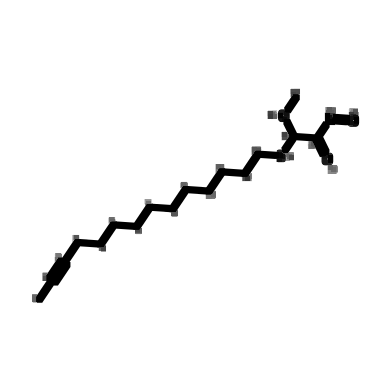 CC#CCCCCCCCCCCCSC(OC)C(=O)N=O